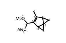 COC(OC)C1=C(C)C2CC23CC13